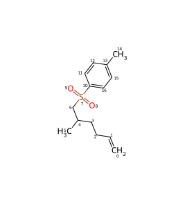 C=CCCC(C)CS(=O)(=O)c1ccc(C)cc1